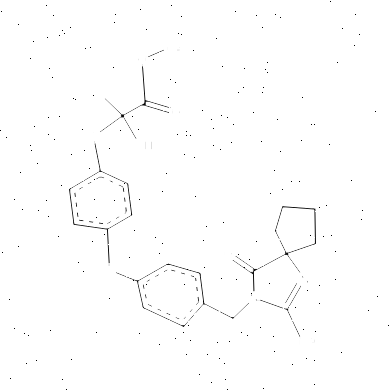 CCCCC1=NC2(CCCC2)C(=O)N1Cc1ccc(Oc2ccc(OC(C)(C)C(=O)OC(C)(C)C)cc2)cc1